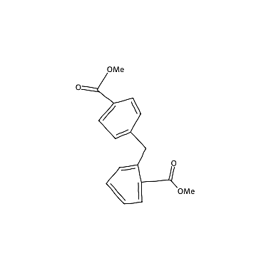 COC(=O)c1ccc(Cc2ccccc2C(=O)OC)cc1